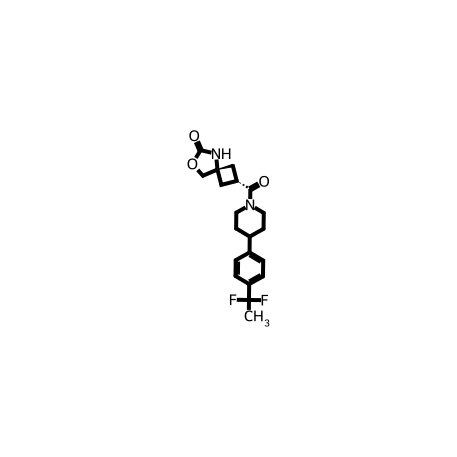 CC(F)(F)c1ccc(C2CCN(C(=O)[C@H]3C[C@]4(COC(=O)N4)C3)CC2)cc1